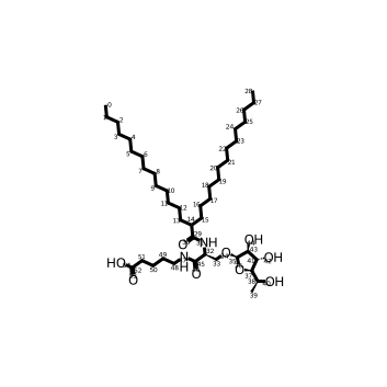 CCCCCCCCCCCCCCC(CCCCCCCCCCCCCC)C(=O)N[C@@H](CO[C@@H]1O[C@H]([C@H](C)O)[C@@H](O)[C@@H]1O)C(=O)NCCCCC(=O)O